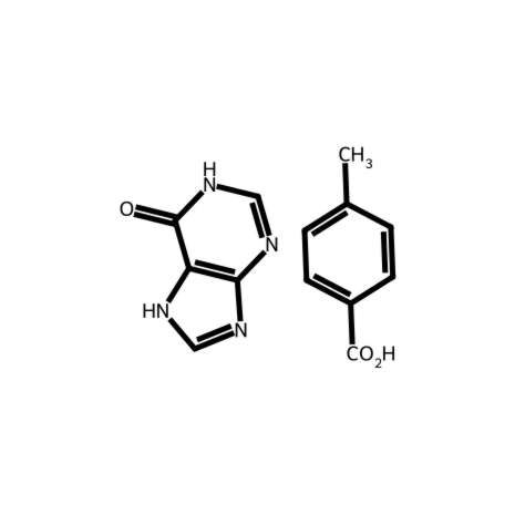 Cc1ccc(C(=O)O)cc1.O=c1[nH]cnc2nc[nH]c12